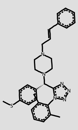 CSc1ccc([C@@H](c2nnnn2-c2c(C)cccc2C)N2CCN(C/C=C/c3ccccc3)CC2)cc1